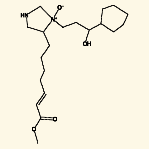 COC(=O)C=CCCCCC1CNC[N+]1([O-])CCC(O)C1CCCCC1